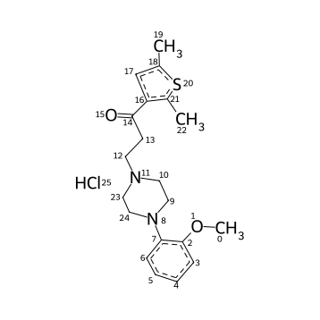 COc1ccccc1N1CCN(CCC(=O)c2cc(C)sc2C)CC1.Cl